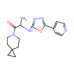 CC(Nc1nnc(-c2ccncc2)o1)C(=O)N1CCC2(CC1)CC2